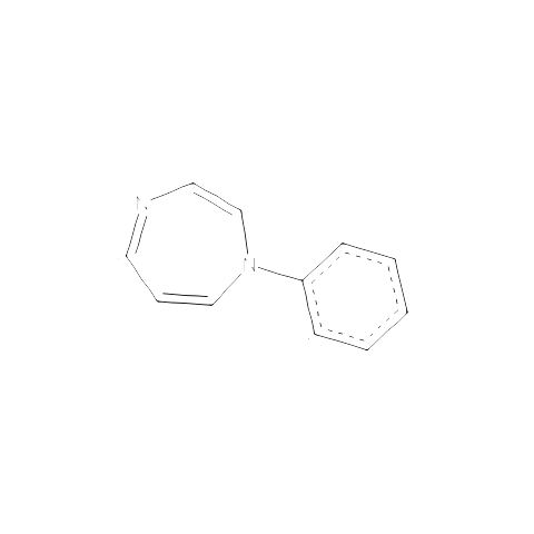 [c]1ccccc1N1C=CC=NC=C1